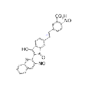 O=Nc1ccc(/C=C/c2ccc3c(c2)C(=O)C(c2nc4ccccc4cc2N=O)=C3O)cc1C(=O)O